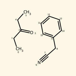 CCC(=O)CC.N#CCc1ccccc1